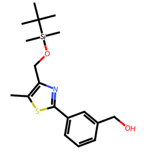 Cc1sc(-c2cccc(CO)c2)nc1CO[Si](C)(C)C(C)(C)C